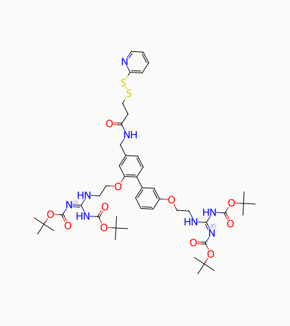 CC(C)(C)OC(=O)/N=C(/NCCOc1cc(CNC(=O)CCSSc2ccccn2)ccc1-c1cccc(OCCN/C(=N\C(=O)OC(C)(C)C)NC(=O)OC(C)(C)C)c1)NC(=O)OC(C)(C)C